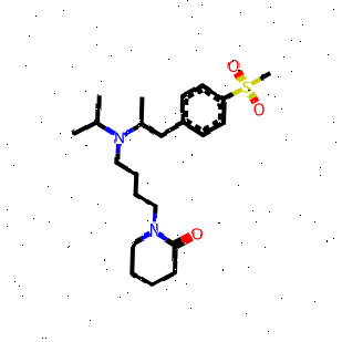 CC(C)N(CCCCN1CCCCC1=O)C(C)Cc1ccc(S(C)(=O)=O)cc1